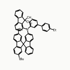 CCc1ccc(-c2cccc(N(c3ccc4c(c3)C3(c5ccccc5-4)c4cc(C(C)(C)C)ccc4-c4ccc(C(C)(C)C)cc43)c3cccc4c3C(C)(C)c3ccccc3-4)c2)cc1